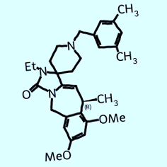 CCN1C(=O)N2Cc3cc(OC)cc(OC)c3[C@H](C)C=C2C12CCN(Cc1cc(C)cc(C)c1)CC2